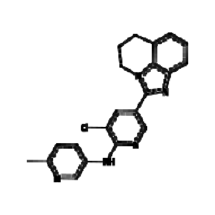 Cc1ccc(Nc2ncc(-c3nc4cccc5c4n3CCC5)cc2Cl)cn1